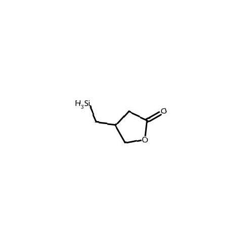 O=C1CC(C[SiH3])CO1